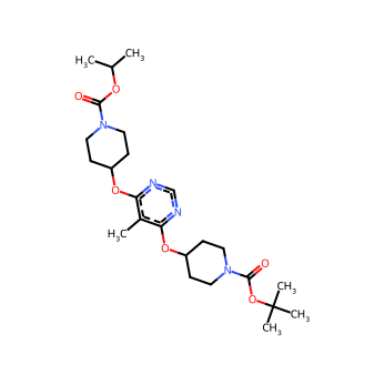 Cc1c(OC2CCN(C(=O)OC(C)C)CC2)ncnc1OC1CCN(C(=O)OC(C)(C)C)CC1